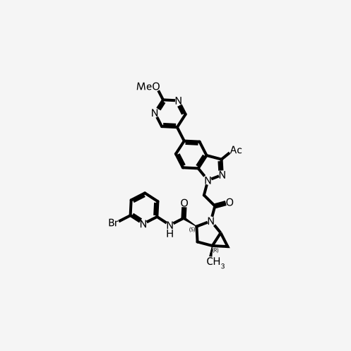 COc1ncc(-c2ccc3c(c2)c(C(C)=O)nn3CC(=O)N2C3C[C@]3(C)C[C@H]2C(=O)Nc2cccc(Br)n2)cn1